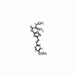 COc1ccc(C=Cc2nc(CC(C)C(N)CO)no2)cc1